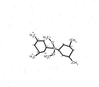 CO[Si](OC)(C1CC(C)CC(C)C1)C1CC(C)CC(C)C1